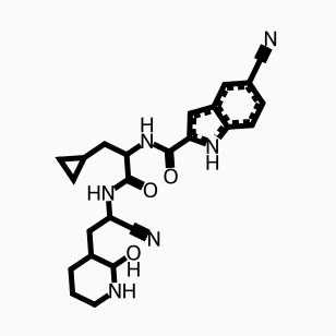 N#Cc1ccc2[nH]c(C(=O)NC(CC3CC3)C(=O)NC(C#N)CC3CCCNC3O)cc2c1